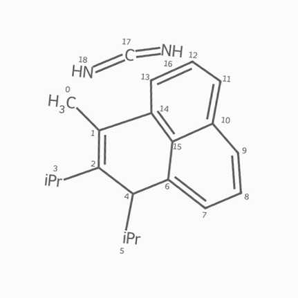 CC1=C(C(C)C)C(C(C)C)c2cccc3cccc1c23.N=C=N